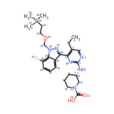 CCc1cnc(N[C@H]2CCCN(C(=O)O)C2)nc1-c1nn(COCC[Si](C)(C)C)c2c(F)cccc12